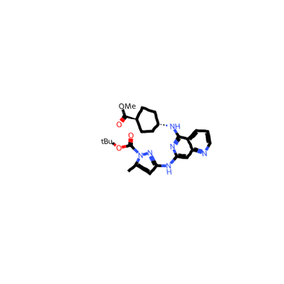 COC(=O)[C@H]1CC[C@H](Nc2nc(Nc3cc(C)n(C(=O)OC(C)(C)C)n3)cc3ncccc23)CC1